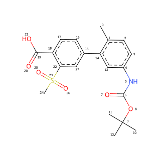 Cc1ccc(NC(=O)OC(C)(C)C)cc1-c1ccc(C(=O)O)c(S(C)(=O)=O)c1